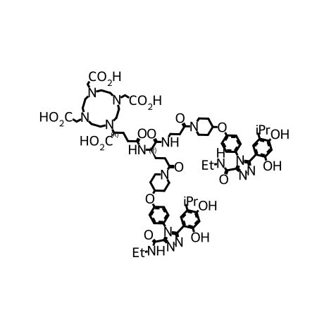 CCNC(=O)c1nnc(-c2cc(C(C)C)c(O)cc2O)n1-c1ccc(OC2CCN(C(=O)CCNC(=O)[C@@H](CCC(=O)N3CCC(Oc4ccc(-n5c(C(=O)NCC)nnc5-c5cc(C(C)C)c(O)cc5O)cc4)CC3)NC(=O)CC[C@H](C(=O)O)N3CCN(CC(=O)O)CCN(CC(=O)O)CCN(CC(=O)O)CC3)CC2)cc1